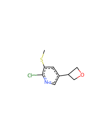 CSc1cc(C2COC2)cnc1Cl